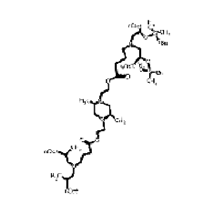 CCCCCCCCC(C)CN(CCCC(=O)OCCN1CC(C)N(CCOC(=O)CCCN(CC(CCCCCCCC)O[Si](C)(C)C(C)(C)C)CC(CCCCCCCC)O[Si](C)(C)C(C)(C)C)CC1C)CC(C)CCCCCCCC